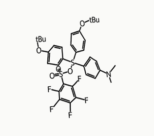 CN(C)c1ccc(S(OS(=O)(=O)c2c(F)c(F)c(F)c(F)c2F)(c2ccc(OC(C)(C)C)cc2)c2ccc(OC(C)(C)C)cc2)cc1